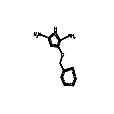 Nc1cc(OCc2ccccc2)c(N)[nH]1